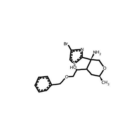 C[C@H]1CC([C@H](O)COCc2ccccc2)[C@](N)(c2nc(Br)cs2)CO1